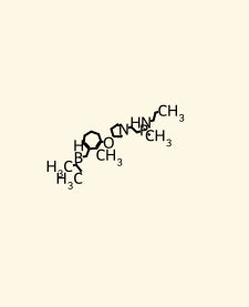 CCCNP(C)CCN1CCC(OC2=C(C)C(CBC(C)CC)=CCCC2)C1